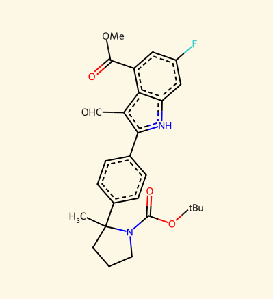 COC(=O)c1cc(F)cc2[nH]c(-c3ccc(C4(C)CCCN4C(=O)OC(C)(C)C)cc3)c(C=O)c12